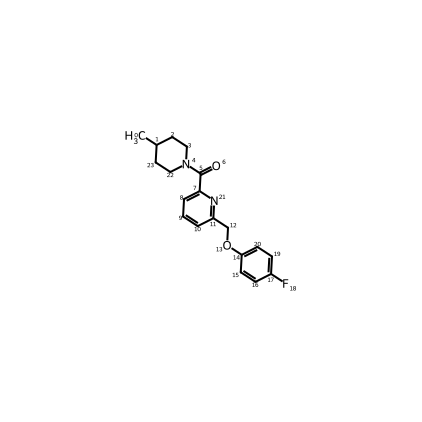 CC1CCN(C(=O)c2cccc(COc3ccc(F)cc3)n2)CC1